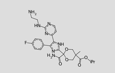 CC(C)OC(=O)C1(C)COC(C(N)=O)(c2nc(-c3ccc(F)cc3)c(-c3ccnc(NCCN)n3)[nH]2)OC1